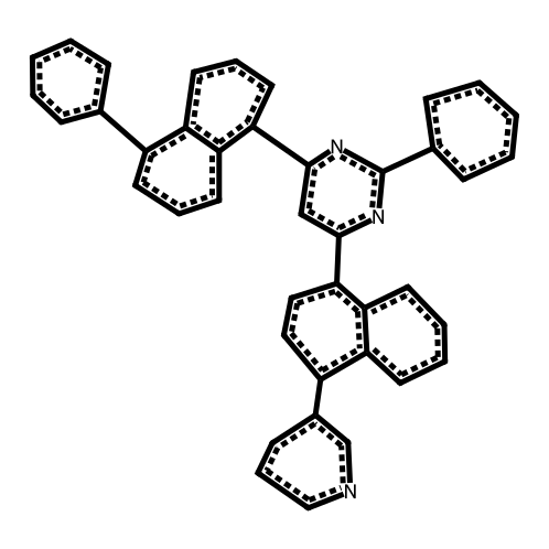 c1ccc(-c2nc(-c3cccc4c(-c5ccccc5)cccc34)cc(-c3ccc(-c4cccnc4)c4ccccc34)n2)cc1